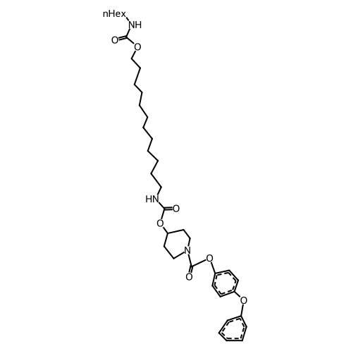 CCCCCCNC(=O)OCCCCCCCCCCCCNC(=O)OC1CCN(C(=O)Oc2ccc(Oc3ccccc3)cc2)CC1